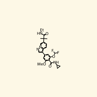 CCNC(=O)C(C)(C)c1ccc2c(-c3cc(OC)c(C(=O)NC4CC4)c(OC(F)F)c3)cnn2c1